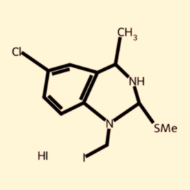 CSC1NC(C)c2cc(Cl)ccc2N1CI.I